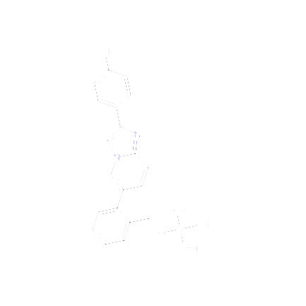 CC(C)(C)[Si](C)(C)OCc1c(F)cccc1-c1ccc2nc(-c3ccc(Cl)cc3)cn2c1